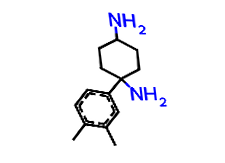 Cc1ccc(C2(N)CCC(N)CC2)cc1C